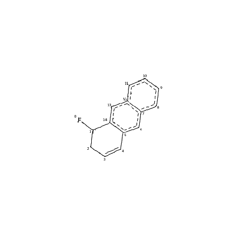 F[C]1CC=Cc2cc3ccccc3cc21